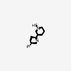 CC(C)c1ccc(C2=CCCN(S)C2)nc1